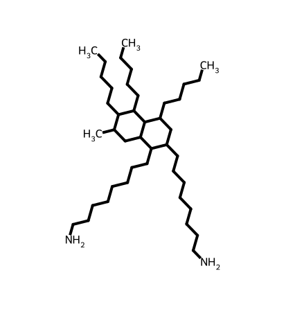 CCCCCC1CC(CCCCCCCCN)C(CCCCCCCCN)C2CC(C)C(CCCCC)C(CCCCC)C12